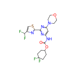 O=C(Nc1cc(N2CCOCC2)nc(-c2nc(C(F)F)cs2)n1)OC1CCC(F)(F)CC1